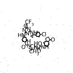 CC(C)(CNC(=O)C(=O)Nc1ccc2c(c1)CCC2=O)CNC(=O)c1ccc(Nc2nc(NC3(c4ccc(Cl)cc4)CC3)nc(OCC(F)(F)F)n2)cc1